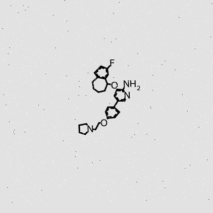 Nc1ncc(-c2ccc(OCCN3CCCC3)cc2)cc1OC1CCCCc2ccc(F)cc21